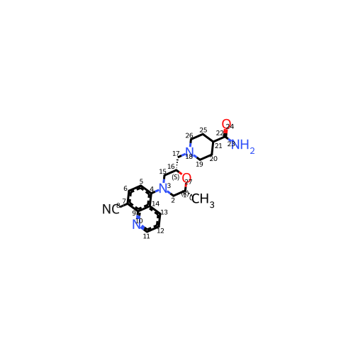 C[C@@H]1CN(c2ccc(C#N)c3ncccc23)C[C@H](CN2CCC(C(N)=O)CC2)O1